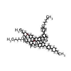 CCCCCCOc1ncc(-c2cc(F)c(C(=O)Oc3ccc4cc(-c5ccc(C6CCC(CCC)CC6)cc5)ccc4c3-c3c(OC(=O)c4c(F)cc(-c5cnc(OCCCCCC)nc5)cc4F)ccc4cc(-c5ccc(C6CCC(CCC)CC6)cc5)ccc34)c(F)c2)cn1